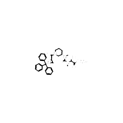 COC(=O)C(C(C)C)N(C)C(=O)N(C)[C@H]1CCCN(C(=O)C2C[N@@]2C(c2ccccc2)(c2ccccc2)c2ccccc2)C1